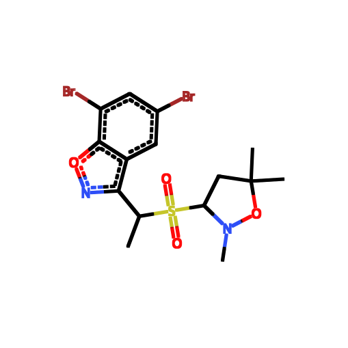 CC(c1noc2c(Br)cc(Br)cc12)S(=O)(=O)C1CC(C)(C)ON1C